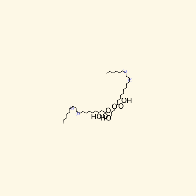 CCCCC/C=C\C/C=C\CCCCCC(O)CC(=O)OCC(CO)OC(=O)CC(O)CCCCC/C=C\C/C=C\CCCCC